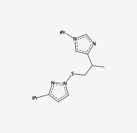 CC(C)c1ccn(SCC(C)c2cn(C(C)C)cn2)n1